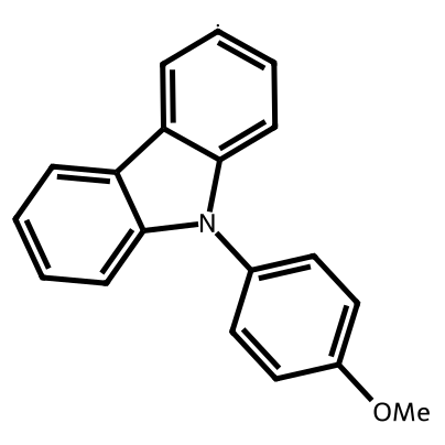 COc1ccc(-n2c3cc[c]cc3c3ccccc32)cc1